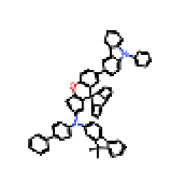 CC1(C)c2ccccc2-c2ccc(N(c3ccc(-c4ccccc4)cc3)c3ccc4c(c3)C3(c5cc(-c6ccc7c(c6)c6ccccc6n7-c6ccccc6)ccc5O4)c4ccccc4-c4ccccc43)cc21